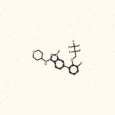 Cn1nc(NC2CCOCC2)c2ccc(-c3cccc(F)c3OCC(F)(F)C(F)(F)F)cc21